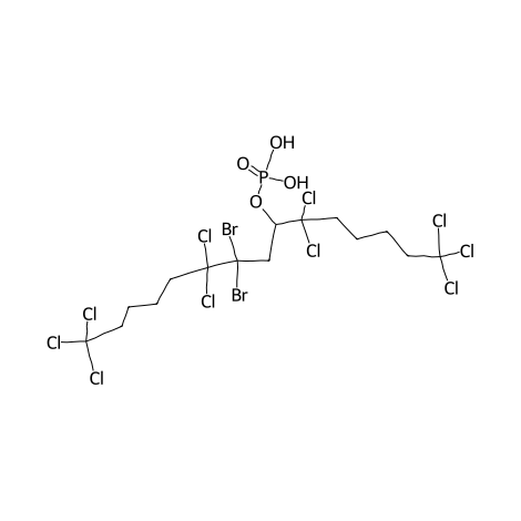 O=P(O)(O)OC(CC(Br)(Br)C(Cl)(Cl)CCCCC(Cl)(Cl)Cl)C(Cl)(Cl)CCCCC(Cl)(Cl)Cl